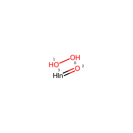 OO.[O]=[InH]